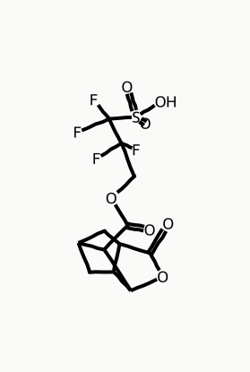 O=C1OC2C3CC(CC13)C2C(=O)OCC(F)(F)C(F)(F)S(=O)(=O)O